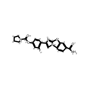 NC(=O)c1ccc2c(c1)sc1nc(-c3ccc(OC(=O)N4CCCC4)cc3F)cn12